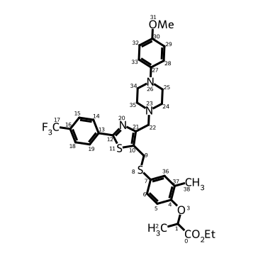 CCOC(=O)C(C)Oc1ccc(SCc2sc(-c3ccc(C(F)(F)F)cc3)nc2CN2CCN(c3ccc(OC)cc3)CC2)cc1C